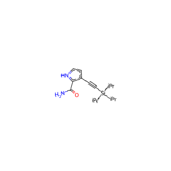 CC(C)[Si](C#Cc1cc[nH]c1C(N)=O)(C(C)C)C(C)C